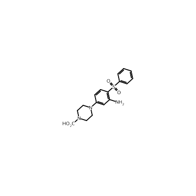 Nc1cc(N2CCN(C(=O)O)CC2)ccc1S(=O)(=O)c1ccccc1